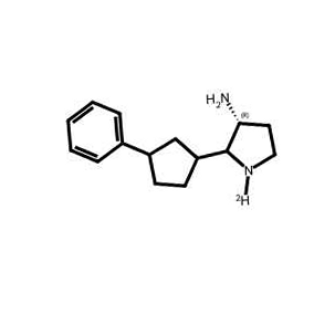 [2H]N1CC[C@@H](N)C1C1CCC(c2ccccc2)C1